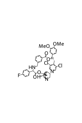 COc1ccc([C@H](Cc2c(Cl)cncc2Cl)OC(=O)c2cccc(CNC(C(=O)O[C@@H]3CC4CCN(CC4)C3)c3ccc(F)cc3)c2)cc1OC